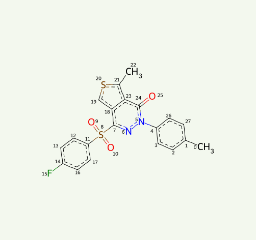 Cc1ccc(-n2nc(S(=O)(=O)c3ccc(F)cc3)c3csc(C)c3c2=O)cc1